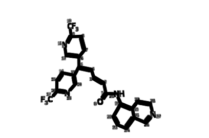 O=C(C=CC=C(c1ccc(C(F)(F)F)nc1)c1ccc(C(F)(F)F)nc1)Nc1cccc2cnccc12